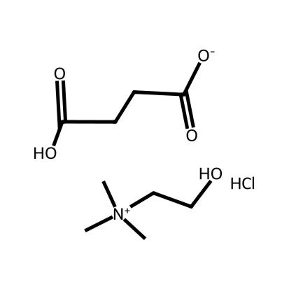 C[N+](C)(C)CCO.Cl.O=C([O-])CCC(=O)O